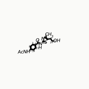 CC(=O)Nc1ccc(C(=O)Nc2nc(C)c(CCO)s2)cc1